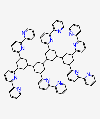 c1ccc(-c2cccc(C3CC(c4cccc(-c5ccccn5)n4)CC(C4CC(c5cccc(-c6ccccn6)n5)CC(C5CC(c6cccc(-c7ccccn7)n6)CC(C6CC(c7cccc(-c8ccccn8)n7)CC(c7cccc(-c8ccccn8)n7)C6)C5)C4)C3)n2)nc1